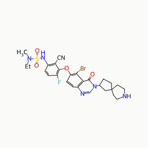 CCN(C)S(=O)(=O)Nc1ccc(F)c(Oc2ccc3ncn(C4CCC5(CCNCC5)C4)c(=O)c3c2Br)c1C#N